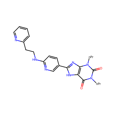 CCCn1c(=O)c2[nH]c(-c3ccc(NCCc4ccccn4)nc3)nc2n(CCC)c1=O